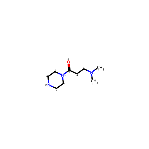 CN(C)CCC(=O)N1CC[N]CC1